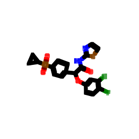 O=C(Nc1nccs1)C(Oc1ccc(F)c(Cl)c1)c1ccc(S(=O)(=O)C2CC2)cc1